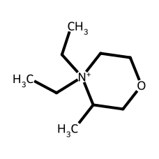 CC[N+]1(CC)CCOCC1C